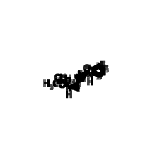 CC(C)(C)OC(=O)N[C@@H]1C[C@H]1c1csc(C(=O)NC2CCC(F)(F)CC2)c1